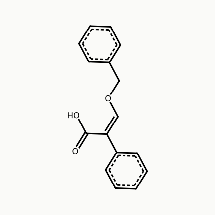 O=C(O)C(=COCc1ccccc1)c1ccccc1